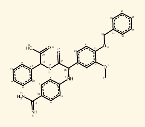 COc1cc([C@@H](Nc2ccc(C(=N)N)cc2)C(=O)NC(C(=O)O)c2ccccc2)ccc1OCc1ccccc1